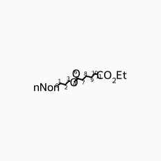 CCCCCCCCCCCCOC(=O)CCCCC(=O)OCC